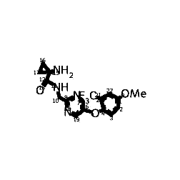 COc1ccc(Oc2cnc(CNC(=O)C3(N)CC3)nc2)c(C(F)(F)F)c1